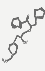 CCN1CCN(CC(O)COC(Cc2ccccc2)C(=O)c2ccccc2)CC1